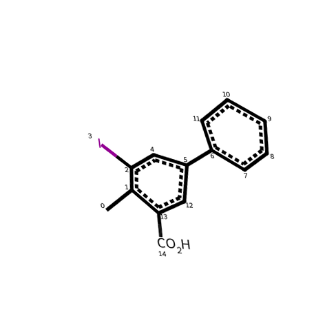 Cc1c(I)cc(-c2ccccc2)cc1C(=O)O